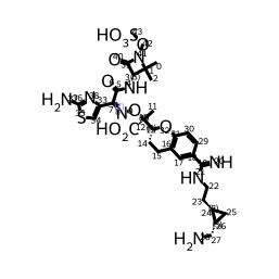 CC1(C)[C@H](NC(=O)/C(=N\O[C@](C)(C(=O)O)[C@H]2CCc3cc(C(=N)NCC[C@H]4C[C@@H]4CN)ccc3O2)c2csc(N)n2)C(=O)N1OS(=O)(=O)O